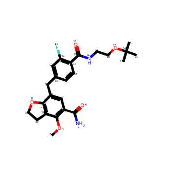 COc1c(C(N)=O)cc(Cc2ccc(C(=O)NCCOC(C)(C)C)c(F)c2)c2c1CCO2